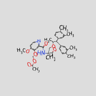 COc1ccnc(C(=O)N[C@](C)(C=O)CO[C@@H](C)C(c2ccc(C)c(C)c2)c2ccc(C)c(C)c2)c1OCOC(C)=O